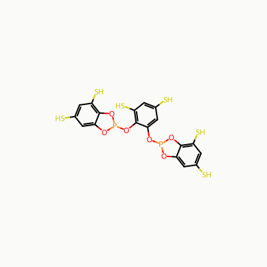 Sc1cc(S)c2c(c1)OP(Oc1cc(S)cc(S)c1OP1Oc3cc(S)cc(S)c3O1)O2